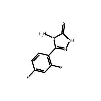 Nn1c(-c2ccc(F)cc2F)n[nH]c1=S